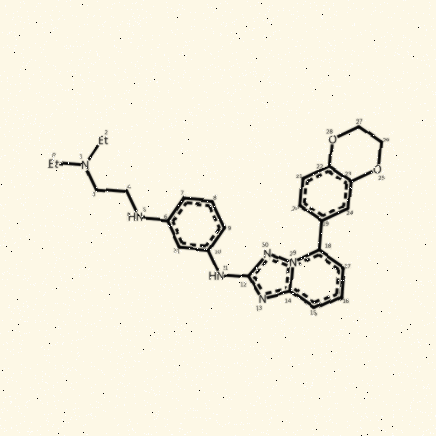 CCN(CC)CCNc1cccc(Nc2nc3cccc(-c4ccc5c(c4)OCCO5)n3n2)c1